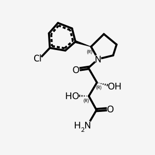 NC(=O)[C@H](O)[C@@H](O)C(=O)N1CCC[C@@H]1c1cccc(Cl)c1